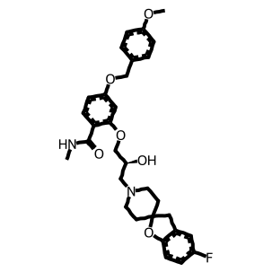 CNC(=O)c1ccc(OCc2ccc(OC)cc2)cc1OC[C@@H](O)CN1CCC2(CC1)Cc1cc(F)ccc1O2